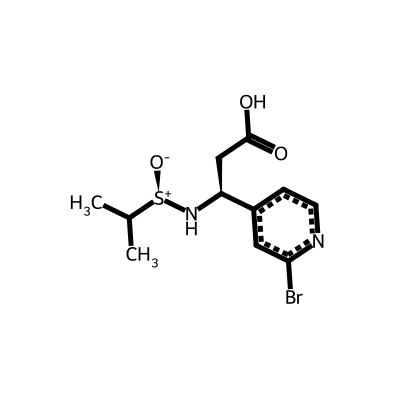 CC(C)[S@@+]([O-])N[C@@H](CC(=O)O)c1ccnc(Br)c1